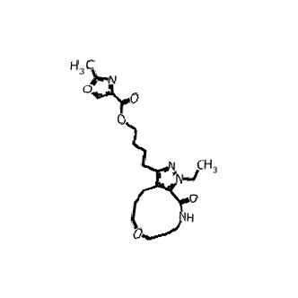 CCn1nc(CCCCOC(=O)c2coc(C)n2)c2c1C(=O)NCCCOCCC2